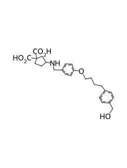 O=C(O)C1(C(=O)O)CCC(NCc2ccc(OCCCCc3ccc(CO)cc3)cc2)C1